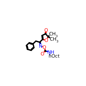 CCCCCCCCNC(=O)ON=C(Cc1ccccc1)C1=CC(=O)C(C)(C)O1